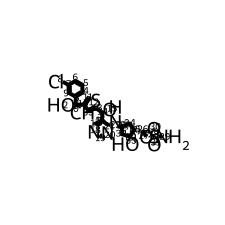 CC(O)(c1cccc(Cl)c1)c1csc(C(=O)c2cncnc2N[C@@H]2C[C@H](COS(N)(=O)=O)[C@@H](O)C2)c1